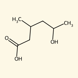 CC(O)CC(C)CC(=O)O